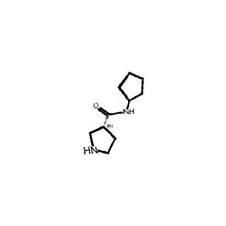 O=C(NC1CCCC1)[C@@H]1CCNC1